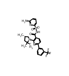 C[C@@H]1CN(c2nc(-c3cccc(C(F)(F)F)c3)ccc2C(=O)NS(=O)(=O)c2cccc(N)n2)C(C)(C)C1